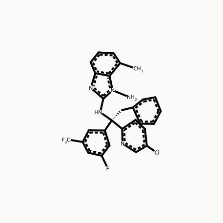 Cc1cccc2nc(N[C@](Cc3ccccc3)(c3cc(F)cc(C(F)(F)F)c3)c3ccc(Cl)cn3)n(N)c12